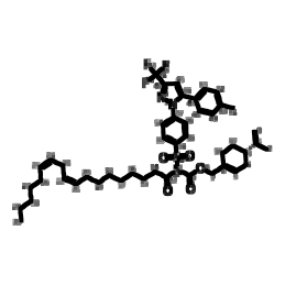 C=C(C)[C@@H]1CC=C(COC(=O)N(C(=O)CCCCCCC/C=C\C/C=C\CCCCC)S(=O)(=O)c2ccc(-n3nc(C(F)(F)F)cc3-c3ccc(C)cc3)cc2)CC1